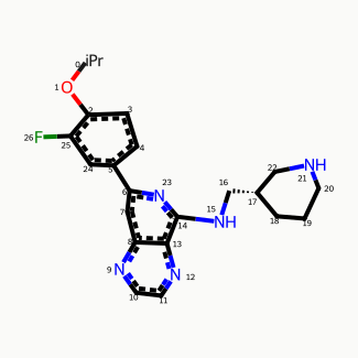 CC(C)Oc1ccc(-c2cc3nccnc3c(NC[C@H]3CCCNC3)n2)cc1F